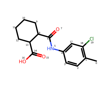 Cc1ccc(NC(=O)C2CCCCC2C(=O)O)cc1Cl